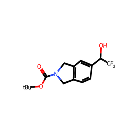 CC(C)(C)OC(=O)N1Cc2ccc(C(O)C(F)(F)F)cc2C1